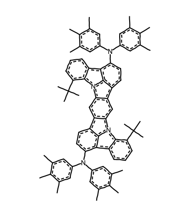 Cc1cc(N(c2cc(C)c(C)c(C)c2)c2ccc3c4cc5c(cc4n4c6c(C(C)(C)C)cccc6c2c34)c2ccc(N(c3cc(C)c(C)c(C)c3)c3cc(C)c(C)c(C)c3)c3c4cccc(C(C)(C)C)c4n5c23)cc(C)c1C